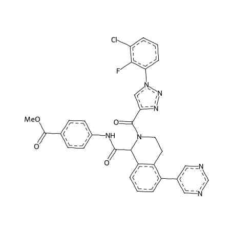 COC(=O)c1ccc(NC(=O)C2c3cccc(-c4cncnc4)c3CCN2C(=O)c2cn(-c3cccc(Cl)c3F)nn2)cc1